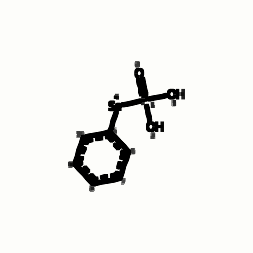 O=P(O)(O)[Se]c1ccccc1